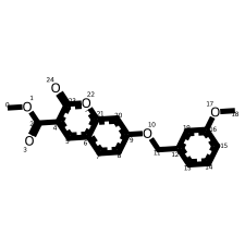 COC(=O)c1cc2ccc(OCc3cccc(OC)c3)cc2oc1=O